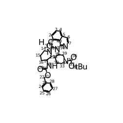 Cc1cccc2ccnc(N(C(=O)N3CCCC(NC(=O)OCc4ccccc4)C3)[C@@H]3CCCN(C(=O)OC(C)(C)C)C3)c12